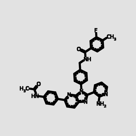 CC(=O)Nc1ccc(-c2ccc3nc(-c4cccnc4N)n(-c4ccc(CNC(=O)c5ccc(C)c(F)c5)cc4)c3n2)cc1